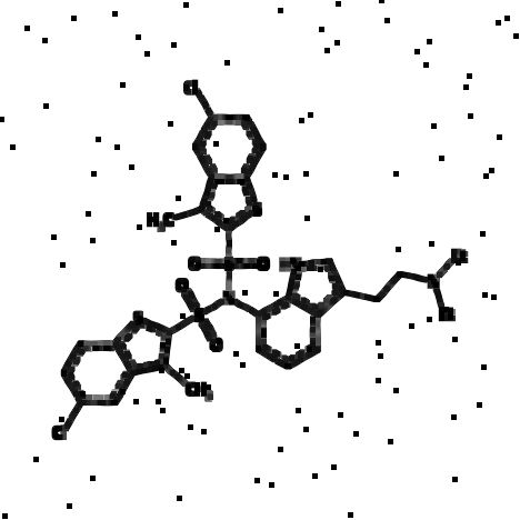 CCN(CC)CCc1c[nH]c2c(N(S(=O)(=O)c3sc4ccc(Cl)cc4c3C)S(=O)(=O)c3sc4ccc(Cl)cc4c3C)cccc12